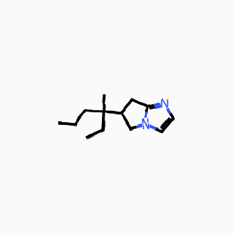 CCCC(C)(CC)C1Cc2nccn2C1